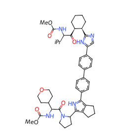 COC(=O)NC(C(=O)[C@H]1CCCC[C@H]1c1ncc(-c2ccc(-c3ccc(-c4[nH]c(C5CCCN5C(=O)C(NC(=O)OC)C5CCOCC5)c5c4CCC5)cc3)cc2)[nH]1)C(C)C